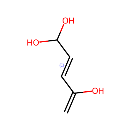 C=C(O)/C=C/C(O)O